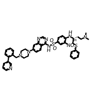 CN(C)CC[C@H](CSc1ccccc1)Nc1ccc(S(=O)(=O)Nc2ncnc3cc(N4CCN(Cc5ccccc5-c5cccnc5)CC4)ccc23)cc1[N+](=O)[O-]